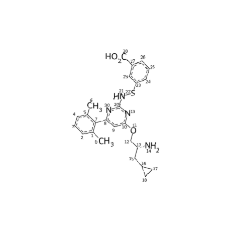 Cc1cccc(C)c1-c1cc(OC[C@H](N)CC2CC2)nc(NSc2cccc(C(=O)O)c2)n1